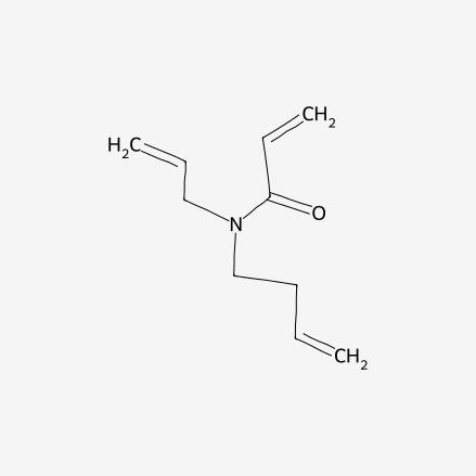 C=CCCN(CC=C)C(=O)C=C